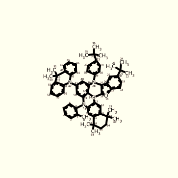 Cc1ccccc1N1c2cc3c(cc2B2c4oc5ccc(C(C)(C)C)cc5c4N(c4ccc(C(C)(C)C)cc4)c4cc(N5c6ccccc6C(C)(C)c6ccccc65)cc1c42)C(C)(C)CCC3(C)C